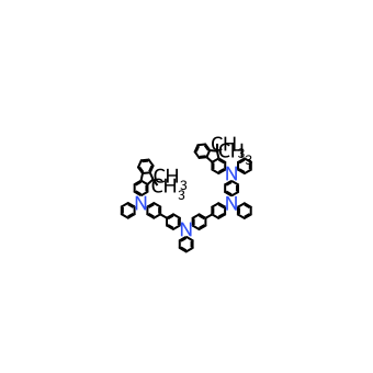 CC1(C)c2ccccc2-c2ccc(N(c3ccccc3)c3ccc(-c4ccc(N(c5ccccc5)c5ccc(-c6ccc(N(c7ccccc7)c7ccc(N(c8ccccc8)c8ccc9c(c8)C(C)(C)c8ccccc8-9)cc7)cc6)cc5)cc4)cc3)cc21